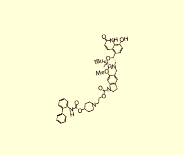 COc1cc2c(cc1CNC[C@H](O[Si](C)(C)C(C)(C)C)c1ccc(O)c3[nH]c(=O)ccc13)CCN2C(=O)OCCN1CCC(OC(=O)Nc2ccccc2-c2ccccc2)CC1